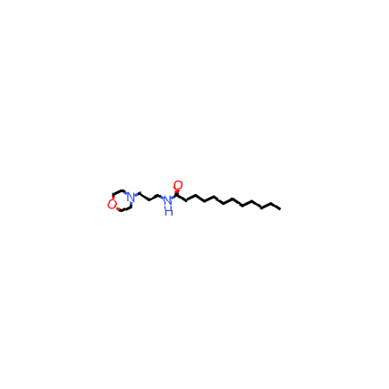 CCCCCCCCCCCC(=O)NCCCN1CCOCC1